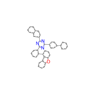 c1ccc(-c2ccc(-c3nc(-c4ccc5ccccc5c4)nc(-c4ccccc4-c4cccc5oc6ccccc6c45)n3)cc2)cc1